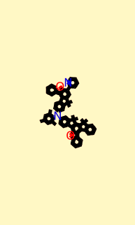 Cc1cc(C)c(N(c2ccc3c(c2)C(C)(C)c2cc(-c4ccccn4)c4oc5ccccc5c4c2-3)c2ccc3c(c2)C(C)(C)c2c4c(c5c(oc6ccccc65)c2-3)-c2ccccc2C4(C)C)c(C)c1